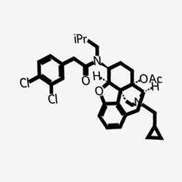 CC(=O)O[C@@]12CC[C@H](N(CC(C)C)C(=O)Cc3ccc(Cl)c(Cl)c3)[C@@H]3Oc4cccc5c4[C@@]31CCN(CC1CC1)[C@@H]2C5